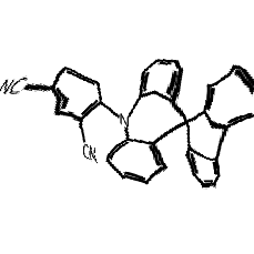 N#Cc1ccc(N2c3ccccc3C3(c4ccccc4-c4ccccc43)c3ccccc32)c(C#N)c1